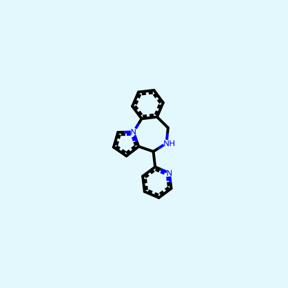 c1ccc(C2NCc3ccccc3-n3cccc32)nc1